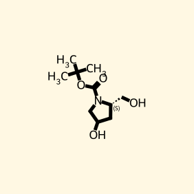 CC(C)(C)OC(=O)N1CC(O)C[C@H]1CO